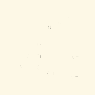 CO[Si](CCC(C)C)(OC)OCN=C=O